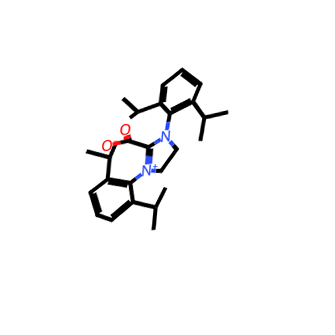 CC(C)c1cccc(C(C)C)c1N1CC[N+](c2c(C(C)C)cccc2C(C)C)=C1C(=O)[O-]